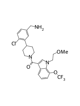 COCCn1cc(C(=O)N2CCC(c3cc(CN)ccc3Cl)CC2)c2cccc(OC(F)(F)F)c21